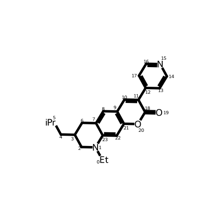 CCN1CC(CC(C)C)Cc2cc3cc(-c4ccncc4)c(=O)oc3cc21